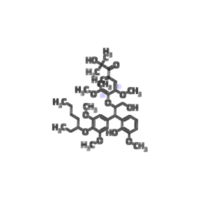 C=C(/C=C(OC)\C(OC(CO)C(c1cc(OC)c(OC(CC)CCCC)c(OC)c1)c1cccc(OC)c1O)=C(/C)OC)C(=O)C(C)(C)O